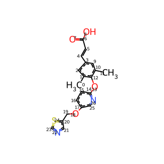 Cc1cc(C=CC(=O)O)cc(C)c1Oc1ccc(OCc2cncs2)cn1